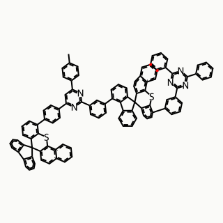 Cc1ccc(-c2cc(-c3ccc(-c4cccc5c4Sc4c(ccc6ccccc46)C54c5ccccc5-c5ccccc54)cc3)nc(-c3cccc(-c4cccc5c4-c4ccccc4C54c5cccc(-c6cccc(-c7nc(-c8ccccc8)nc(-c8ccccc8)n7)c6)c5Sc5c4ccc4ccccc54)c3)n2)cc1